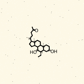 CC[C@@H]1C2C[C@H](O)CC[C@]2(C)C2CC[C@@]3(C)C(CCC3[C@H](C)CCC(C)=O)C2[C@@H]1O